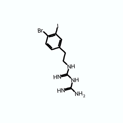 N=C(N)NC(=N)NCCc1ccc(Br)c(I)c1